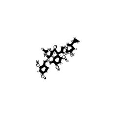 COc1ccc(CN(Cc2ccc(OC)cc2OC)c2cc(C(=O)Cc3cn4cc(C5CC5)cc(Br)c4n3)nc(C)n2)c(OC)c1